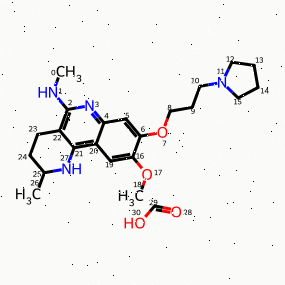 CNc1nc2cc(OCCCN3CCCC3)c(OC)cc2c2c1CCC(C)N2.O=CO